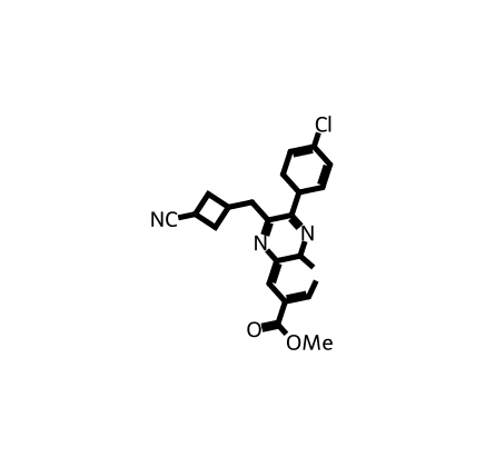 C/C=C(\C=C1\N=C(CC2CC(C#N)C2)C(C2C=CC(Cl)=CC2)=NC1C)C(=O)OC